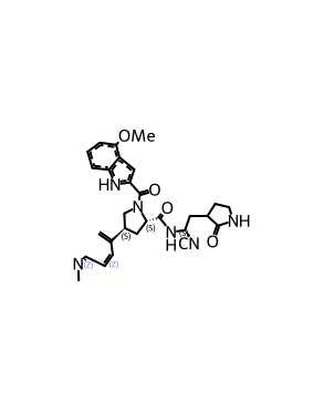 C=C(/C=C\C=N/C)[C@@H]1C[C@@H](C(=O)N[C@H](C#N)CC2CCNC2=O)N(C(=O)c2cc3c(OC)cccc3[nH]2)C1